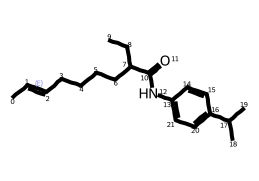 C/C=C/CCCCC(CC)C(=O)Nc1ccc(C(C)C)cc1